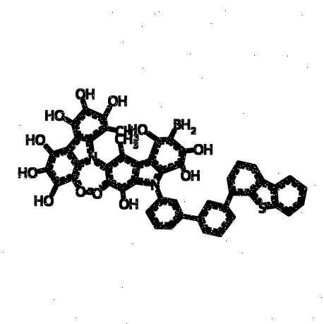 Bc1c(O)c(O)c2c(c1O)c1c(C)c3c(ooc4c(O)c(O)c(O)c5c6c(O)c(O)c(O)c(C)c6n3c45)c(O)c1n2-c1cccc(-c2cccc(-c3cccc4c3sc3ccccc34)c2)c1